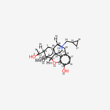 CCCC[C@@](C)(O)[C@H]1C[C@]23CC[C@@]1(OC)[C@H]1Oc4c(O)ccc5c4[C@]12CCN(CC1CC1)[C@H]3C5